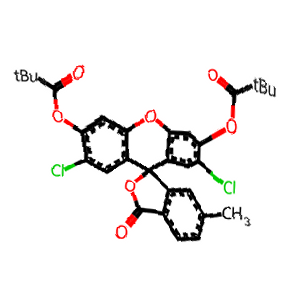 Cc1ccc2c(c1)C1(OC2=O)c2cc(Cl)c(OC(=O)C(C)(C)C)cc2Oc2cc(OC(=O)C(C)(C)C)c(Cl)cc21